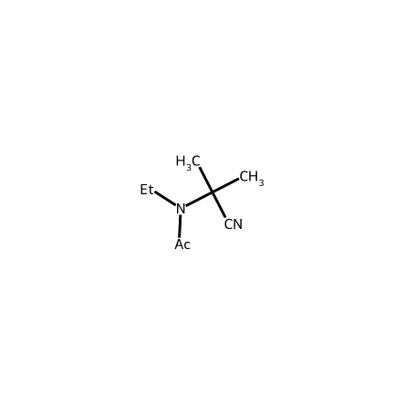 CCN(C(C)=O)C(C)(C)C#N